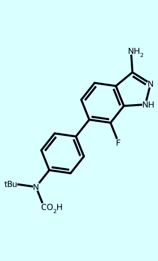 CC(C)(C)N(C(=O)O)c1ccc(-c2ccc3c(N)n[nH]c3c2F)cc1